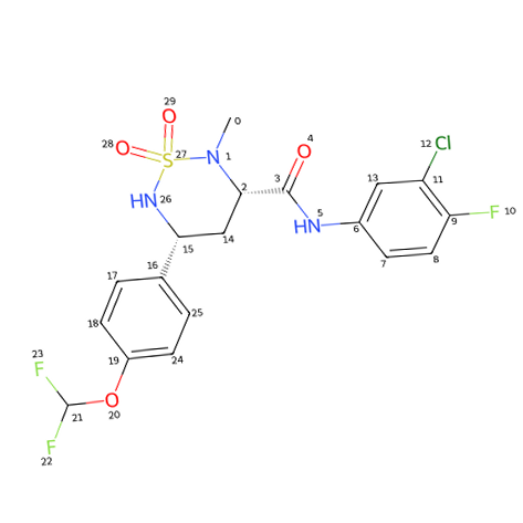 CN1[C@H](C(=O)Nc2ccc(F)c(Cl)c2)C[C@H](c2ccc(OC(F)F)cc2)NS1(=O)=O